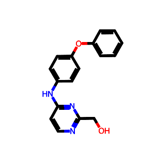 OCc1nccc(Nc2ccc(Oc3ccccc3)cc2)n1